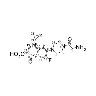 NCC(=O)N1CCN(c2cc3c(cc2F)c(=O)c(C(=O)O)cn3C2CC2)CC1